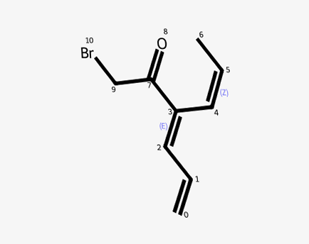 C=C/C=C(\C=C/C)C(=O)CBr